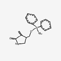 C=C1C(=O)NCC1CO[Si](c1ccccc1)(c1ccccc1)C(C)(C)C